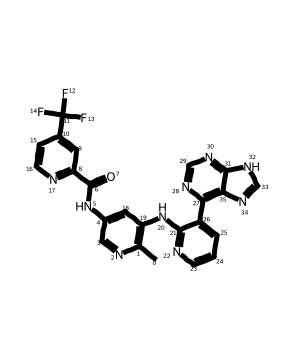 Cc1ncc(NC(=O)c2cc(C(F)(F)F)ccn2)cc1Nc1ncccc1-c1ncnc2[nH]cnc12